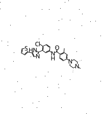 Cc1cc(N2C[C@@H](C)N(C)[C@@H](C)C2)ccc1C(=O)Nc1ccc(Cl)c(-c2ncc(-c3cccs3)[nH]2)c1